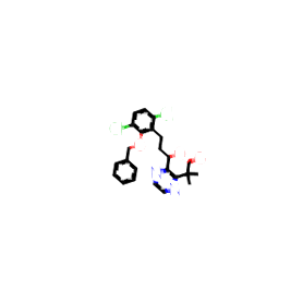 CC1(C)C(=O)OC(CCc2c(Cl)ccc(Cl)c2OCc2ccccc2)c2nccnc21